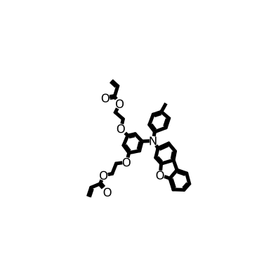 C=CC(=O)OCCOc1cc(OCCOC(=O)C=C)cc(N(c2ccc(C)cc2)c2ccc3c(c2)oc2ccccc23)c1